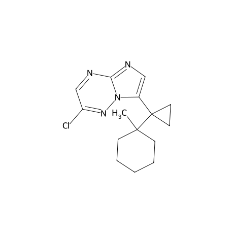 CC1(C2(c3cnc4ncc(Cl)nn34)CC2)CCCCC1